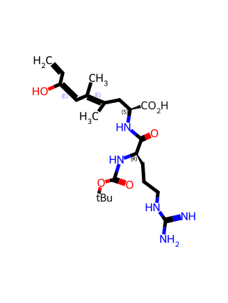 C=C/C(O)=C\C(C)=C(/C)C[C@H](NC(=O)[C@@H](CCCNC(=N)N)NC(=O)OC(C)(C)C)C(=O)O